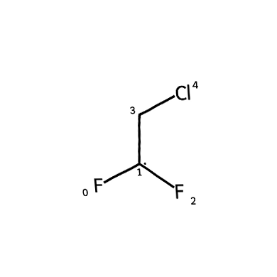 F[C](F)CCl